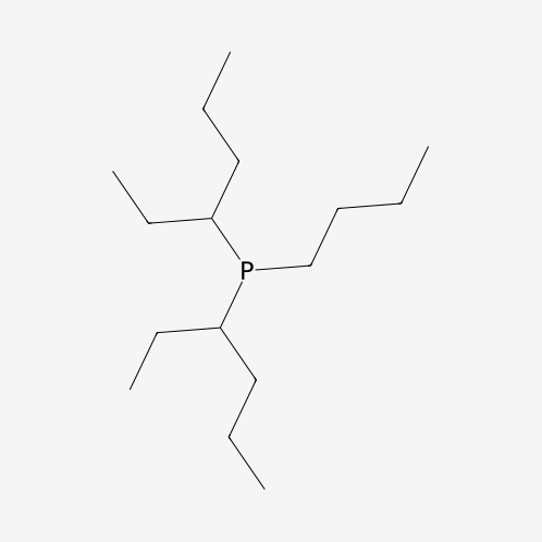 CCCCP(C(CC)CCC)C(CC)CCC